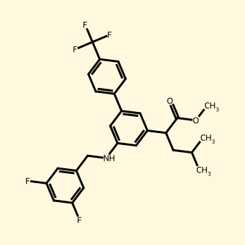 COC(=O)C(CC(C)C)c1cc(NCc2cc(F)cc(F)c2)cc(-c2ccc(C(F)(F)F)cc2)c1